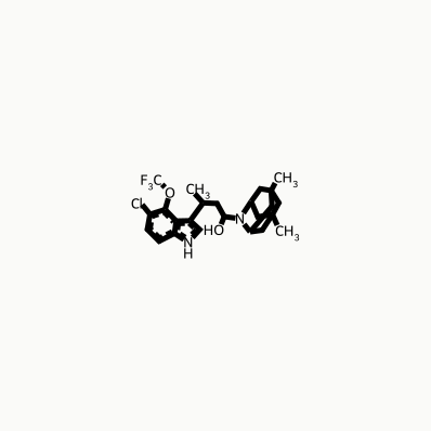 CC(CC(O)N1C2CC3(C)CC1CC(C)(C2)C3)c1c[nH]c2ccc(Cl)c(OC(F)(F)F)c12